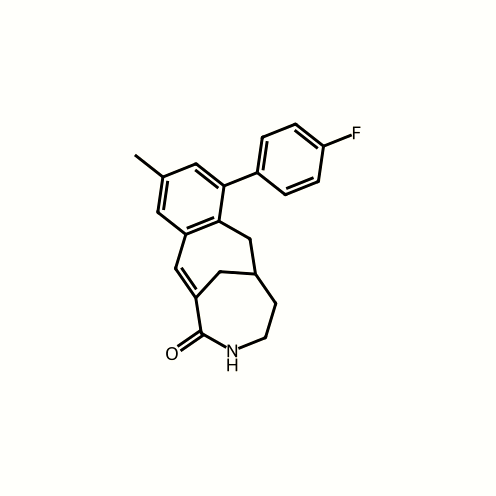 Cc1cc2c(c(-c3ccc(F)cc3)c1)CC1CCNC(=O)C(=C2)C1